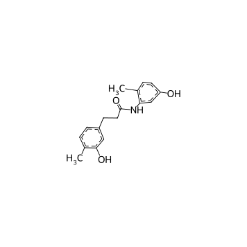 Cc1ccc(CCC(=O)Nc2cc(O)ccc2C)cc1O